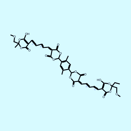 CCC1(COC)OC(=O)C(/C=C/C=C/C=C2C(=O)OC(c3cc(C)c(C4OC(=O)C(=C/C=C/C=C/C5=C(O)OC(C)(COC)OC5=O)C(=O)O4)cc3C)OC2=O)=C(O)O1